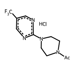 CC(=O)N1CCN(c2ncc(C(F)(F)F)cn2)CC1.Cl